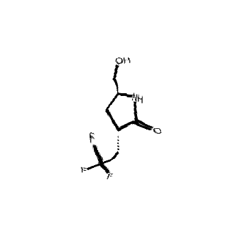 O=C1N[C@H](CO)C[C@H]1CC(F)(F)F